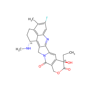 CC[C@]1(O)C(=O)OCc2c1cc1n(c2=O)Cc2c-1nc1cc(F)c(C)c3c1c2[C@H](NC)CC3